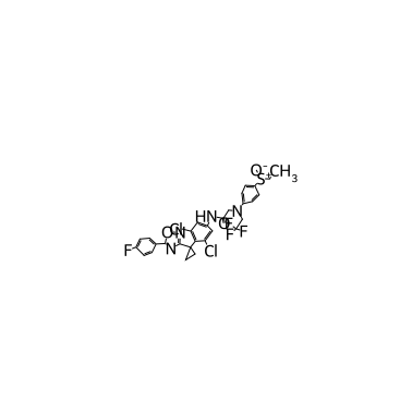 CC[S+]([O-])c1ccc(N(CC(=O)Nc2cc(Cl)c(C3(c4noc(-c5ccc(F)cc5)n4)CC3)c(Cl)c2)CC(F)(F)F)cc1